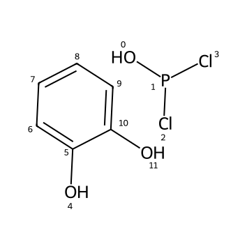 OP(Cl)Cl.Oc1ccccc1O